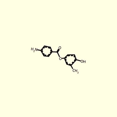 Cc1cc(OC(=O)c2ccc(N)cc2)ccc1O